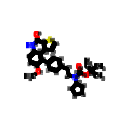 COc1ccc2[nH]c(=O)c3sccc3c2c1-c1ccc(CCN(C(=O)OC(C)(C)C)C2CCCC2)cc1